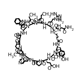 CCCC[C@H]1C(=O)N(C)[C@@H](CCCC)C(=O)N[C@@H](CCCNC(=N)N)C(=O)N[C@H](C(=O)NCC(N)=O)CSCC(=O)N[C@@H](Cc2ccc(O)cc2)C(=O)N(C)[C@@H](C)C(=O)N[C@@H](CCC(=O)O)C(=O)N2CCC[C@H]2C(=O)N[C@@H](Cc2cnc[nH]2)C(=O)N[C@@H](CC(C)C)C(=O)N2CCC[C@H]2C(=O)C(CO)C(=O)N[C@@H](Cc2c[nH]c3ccccc23)C(=O)N1C